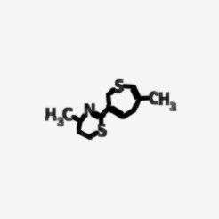 CC1=CSCC(C2=NC(C)CCS2)=CC1